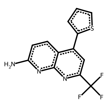 Nc1ccc2c(-c3cccs3)cc(C(F)(F)F)nc2n1